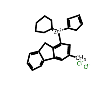 Cc1cc2c([c]([Zr+2]([C]3=CC=CC3)=[C]3CCCCC3)c1)Cc1ccccc1-2.[Cl-].[Cl-]